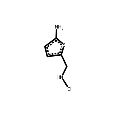 Nc1ccc(CNCl)s1